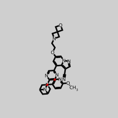 COc1ccc(CN2C3CC2CN(c2cnc(-c4cc(OCCN5CC6(COC6)C5)cn5ncc(C#N)c45)cn2)C3)cn1